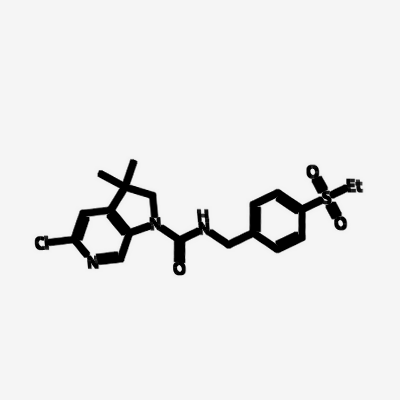 CCS(=O)(=O)c1ccc(CNC(=O)N2CC(C)(C)c3cc(Cl)ncc32)cc1